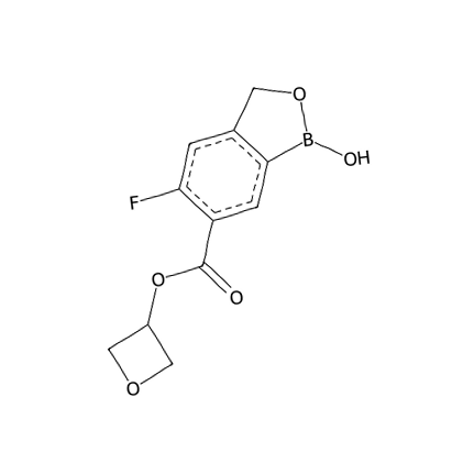 O=C(OC1COC1)c1cc2c(cc1F)COB2O